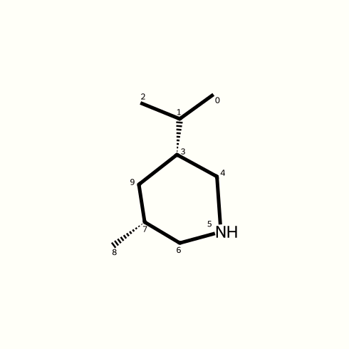 CC(C)[C@@H]1CNC[C@H](C)C1